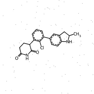 CC1Cc2cc(-c3cccc(C4CCC(=O)NC4=O)c3Cl)ccc2N1